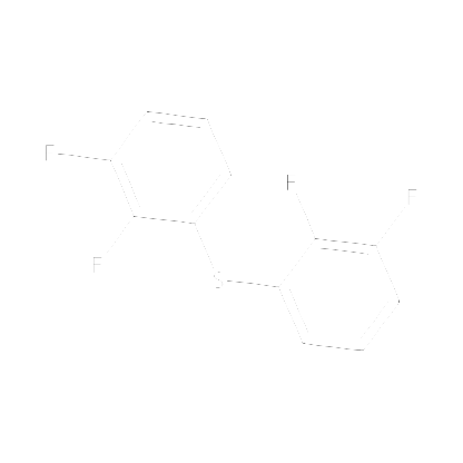 Fc1cccc(Sc2cccc(F)c2F)c1F